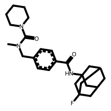 CN(Cc1ccc(C(=O)NC23CC4CC(CC(F)(C4)C2)C3)cc1)C(=O)N1CCCCC1